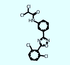 O=C(Nc1cccc(-c2noc(-c3c(Cl)cccc3Cl)n2)c1)C(Cl)Cl